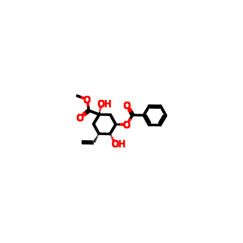 C=C[C@@H]1C[C@@](O)(C(=O)OC)C[C@@H](OC(=O)c2ccccc2)[C@@H]1O